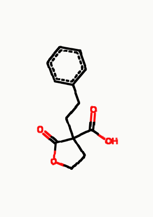 O=C(O)C1(CCc2ccccc2)CCOC1=O